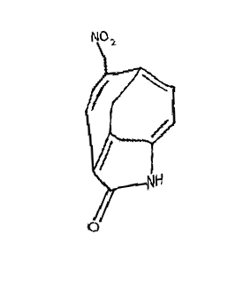 O=C1NC2=CC=C3CC2=C1C=C3[N+](=O)[O-]